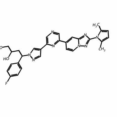 Cc1ccc(C)n1-c1nc2cc(-c3cncc(-c4cnn(C(CC(O)CO)c5ccc(F)cc5)c4)n3)ccn2n1